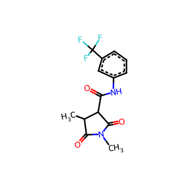 CC1C(=O)N(C)C(=O)C1C(=O)Nc1cccc(C(F)(F)F)c1